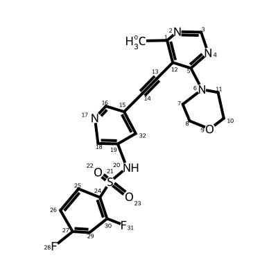 Cc1ncnc(N2CCOCC2)c1C#Cc1cncc(NS(=O)(=O)c2ccc(F)cc2F)c1